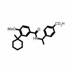 COc1ccc(C(=O)NC(C)c2ccc(C(=O)O)cc2)cc1C1(C)CCCCC1